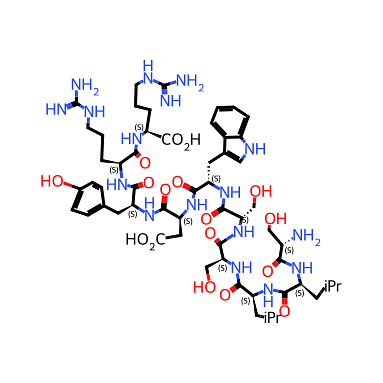 CC(C)C[C@H](NC(=O)[C@H](CC(C)C)NC(=O)[C@@H](N)CO)C(=O)N[C@@H](CO)C(=O)N[C@@H](CO)C(=O)N[C@@H](Cc1c[nH]c2ccccc12)C(=O)N[C@@H](CC(=O)O)C(=O)N[C@@H](Cc1ccc(O)cc1)C(=O)N[C@@H](CCCNC(=N)N)C(=O)N[C@@H](CCCNC(=N)N)C(=O)O